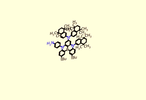 CC(C)(C)c1ccc2c(c1)B1c3cc(C(C)(C)C)ccc3N(c3ccc4c(c3)C(C)(C)CCC4(C)C)c3cc(N(c4ccc5c(c4)C(C)(C)CCC5(C)C)c4ccc5c(c4)C(C)(C)CCC5(C)C)cc(c31)N2c1ccc(N)cc1